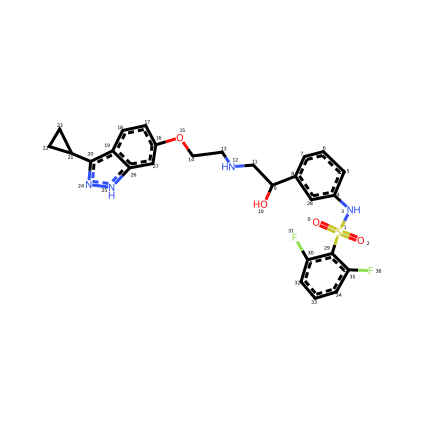 O=S(=O)(Nc1cccc(C(O)CNCCOc2ccc3c(C4CC4)n[nH]c3c2)c1)c1c(F)cccc1F